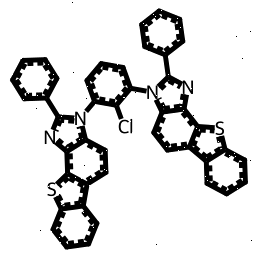 Clc1c(-n2c(-c3ccccc3)nc3c4sc5ccccc5c4ccc32)cccc1-n1c(-c2ccccc2)nc2c3sc4ccccc4c3ccc21